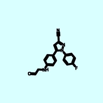 N#Cc1cc(-c2ccc(NCC=O)cc2)n(-c2ccc(F)cc2)n1